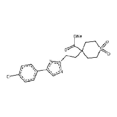 COC(=O)C1(CCn2ncc(-c3ccc(Cl)cc3)n2)CCS(=O)(=O)CC1